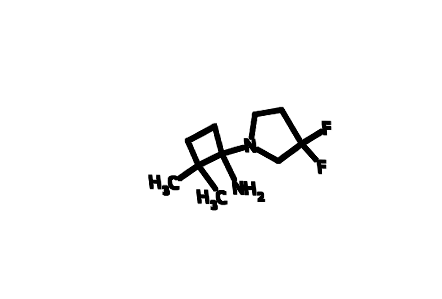 CC1(C)CCC1(N)N1CCC(F)(F)C1